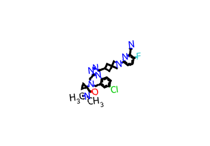 CN(C)C(=O)C1(N2Cc3cc(Cl)ccc3-n3c(nnc3C3CC4(C3)CN(c3ccc(F)c(C#N)n3)C4)C2)CC1